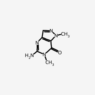 Cn1c(N)nc2cnn(C)c2c1=O